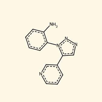 Nc1ccccc1-n1nncc1-c1cccnc1